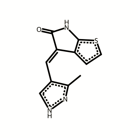 Cc1n[nH]cc1C=C1C(=O)Nc2sccc21